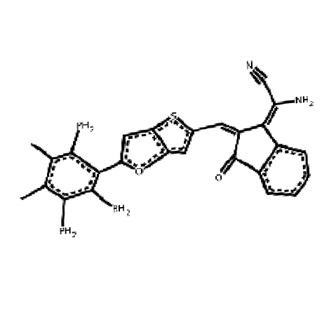 Bc1c(P)c(C)c(C)c(P)c1-c1cc2sc(/C=C3\C(=O)c4ccccc4\C3=C(/N)C#N)cc2o1